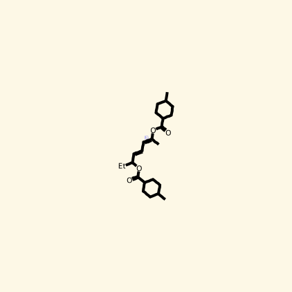 CCC(C=C/C=C(\C)OC(=O)C1CCC(C)CC1)OC(=O)C1CCC(C)CC1